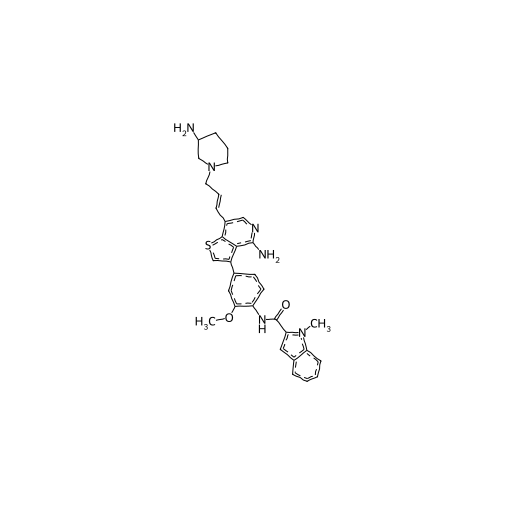 COc1cc(-c2csc3c(C=CCN4CCCC(N)C4)cnc(N)c23)ccc1NC(=O)c1cc2ccccc2n1C